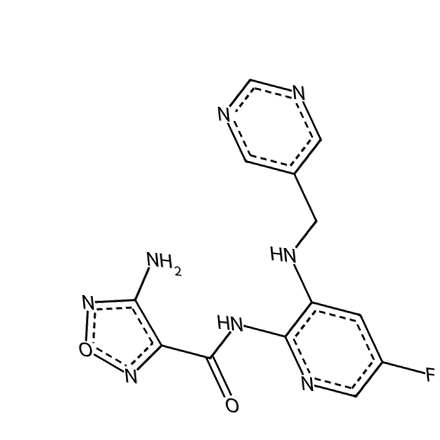 Nc1nonc1C(=O)Nc1ncc(F)cc1NCc1cncnc1